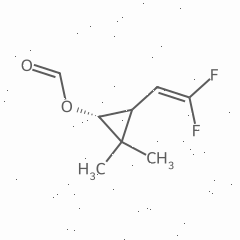 CC1(C)C(C=C(F)F)[C@H]1OC=O